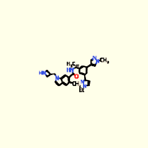 CCn1ccc(-c2cc(-c3cnn(C)c3)cc([C@@H](C)NC(=O)c3cc4c(ccn4CC4CNC4)cc3C)c2)n1